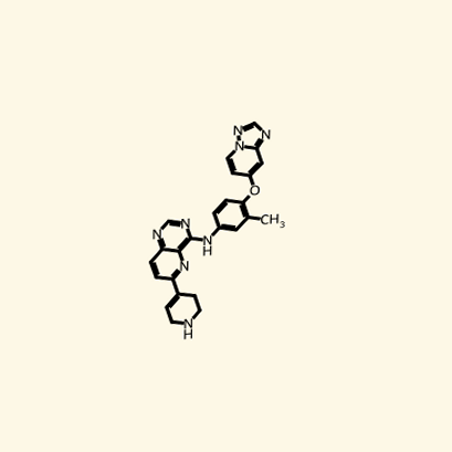 Cc1cc(Nc2ncnc3ccc(C4=CCNCC4)nc23)ccc1Oc1ccn2ncnc2c1